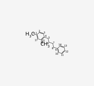 Cc1ccc(CCCCc2ccccc2)c(C)c1